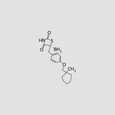 B[C@@]1(Cc2ccc(OCC3(C)CCCCC3)cc2)SC(=O)NC1=O